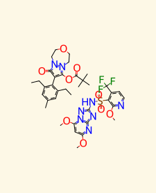 CCc1cc(C)cc(CC)c1-c1c(OC(=O)C(C)(C)C)n2n(c1=O)CCOCC2.COc1cc(OC)n2nc(NS(=O)(=O)c3c(C(F)(F)F)ccnc3OC)nc2n1